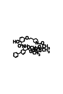 CC(C)(C)OC(=O)c1ccc(-c2ccccc2)cc1NC(=O)c1cc(OCCC2CCN(C(=O)OC(C)(C)C)CC2)ccc1O